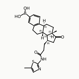 Cc1cnc(NC(=O)CC[C@@H]2CC(=O)[C@@]3(C)CC[C@@H]4c5ccc(B(O)O)cc5CC[C@H]4[C@H]23)s1